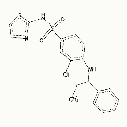 CCC(Nc1ccc(S(=O)(=O)Nc2nccs2)cc1Cl)c1ccccc1